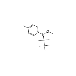 CON(c1ccc(C)cc1)C(C)(C)S(C)(C)C